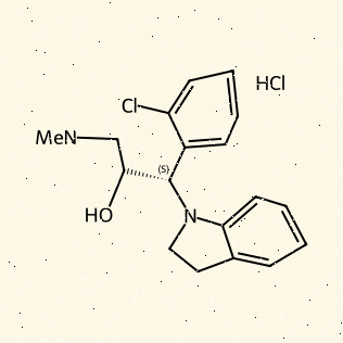 CNCC(O)[C@H](c1ccccc1Cl)N1CCc2ccccc21.Cl